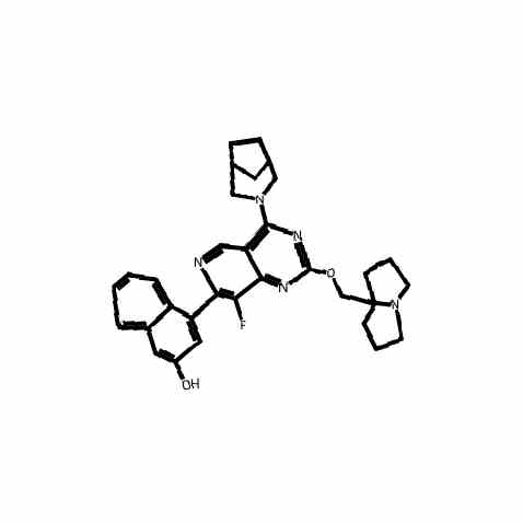 Oc1cc(-c2ncc3c(N4CC5CCC(C5)C4)nc(OCC45CCCN4CCC5)nc3c2F)c2ccccc2c1